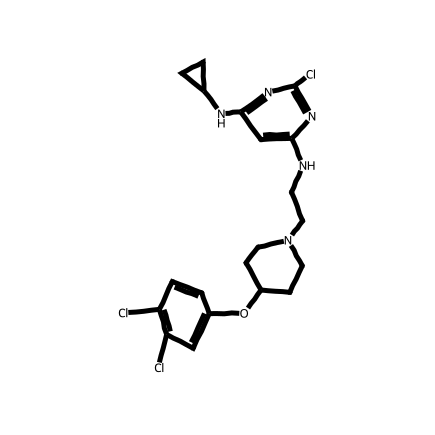 Clc1nc(NCCN2CCC(Oc3ccc(Cl)c(Cl)c3)CC2)cc(NC2CC2)n1